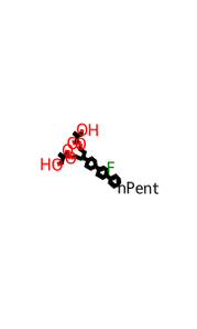 C=C(CO)C(=O)OCCC(CCOC(=O)C(=C)CO)C1CCC(c2ccc(-c3ccc(CCCCC)cc3)c(F)c2)CC1